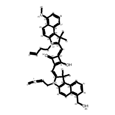 C=C=CCN1/C(=C/C2=C(O)C(=C/C3=[N+](CCC=C)c4ccc5c(OC)cccc5c4C3(C)C)/C2=O)C(C)(C)c2c1ccc1c(CO)cccc21